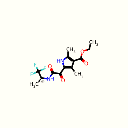 CCOC(=O)c1c(C)[nH]c(C(=O)C(=O)N[C@@H](C)C(F)(F)F)c1C